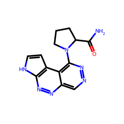 NC(=O)C1[CH]CCN1c1nncc2nnc3[nH]ccc3c12